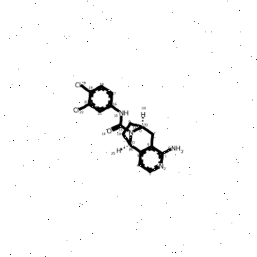 Nc1nccc2c1C[C@@H]1CC[C@H]2N1C(=O)Nc1ccc(Cl)c(Cl)c1